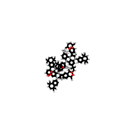 Cc1cc2c3c(c1)N(c1ccc4c(c1)C(C)(C)CCC4(C)C)c1sc4cc5c(cc4c1B3c1cc(C(C)(C)C)ccc1N2c1cc2c(cc1-c1ccccc1)C(C)(C)CCC2(C)C)C1(C)CCC5(C)CC1CC(C)(C)c1cc2c3c(c1)N(c1ccc4c(c1)C(C)(C)CCC4(C)C)c1sc4cc5c(cc4c1B3c1cc(C(C)(C)C)ccc1N2c1ccc2c(c1)C(C)(C)CCC2(C)C)C1(C)CCC5(C)CC1